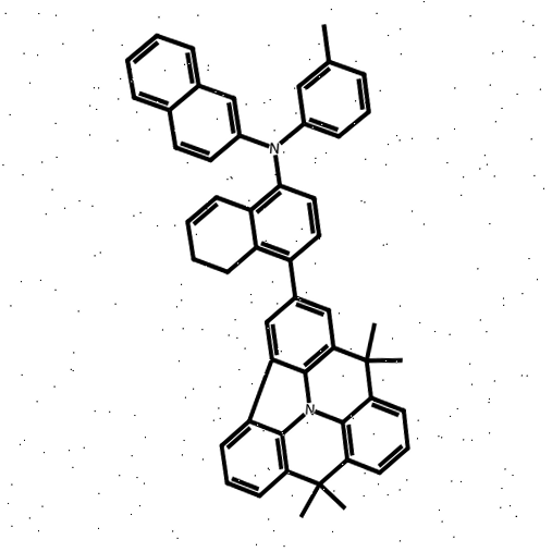 Cc1cccc(N(c2ccc3ccccc3c2)c2ccc(-c3cc4c5c(c3)c3cccc6c3n5-c3c(cccc3C4(C)C)C6(C)C)c3c2C=CCC3)c1